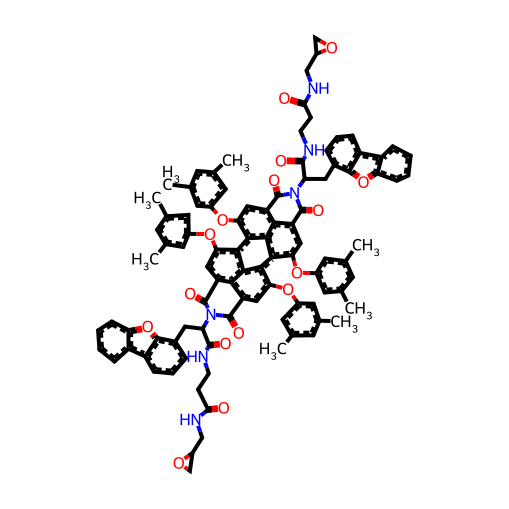 Cc1cc(C)cc(Oc2cc3c4c(cc(Oc5cc(C)cc(C)c5)c5c6c(Oc7cc(C)cc(C)c7)cc7c8c(cc(Oc9cc(C)cc(C)c9)c(c2c45)c86)C(=O)N(C(Cc2cccc4c2oc2ccccc24)C(=O)NCCC(=O)NCC2CO2)C7=O)C(=O)N(C(Cc2cccc4c2oc2ccccc24)C(=O)NCCC(=O)NCC2CO2)C3=O)c1